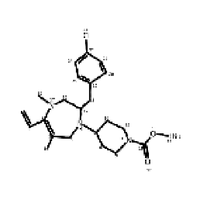 C=CC1=C(C)CN(C2CCN(C(=O)OC(C)(C)C)CC2)C(Cc2ccc(Cl)cc2)CN1C